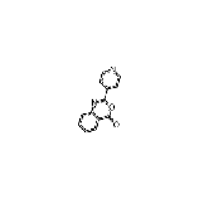 O=c1oc(-c2ccncc2)nc2ccccc12